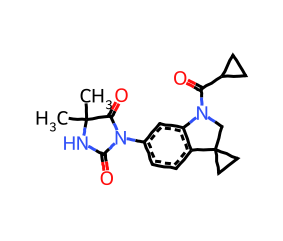 CC1(C)NC(=O)N(c2ccc3c(c2)N(C(=O)C2CC2)CC32CC2)C1=O